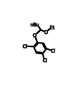 CCCCC(OCC)Oc1cc(Cl)c(Cl)cc1Cl